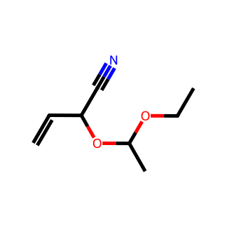 C=CC(C#N)OC(C)OCC